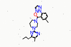 CCCc1nc(N2CC[C@H](C)N(C(=O)c3cc(C)ccc3-n3nccn3)CC2)ncc1C